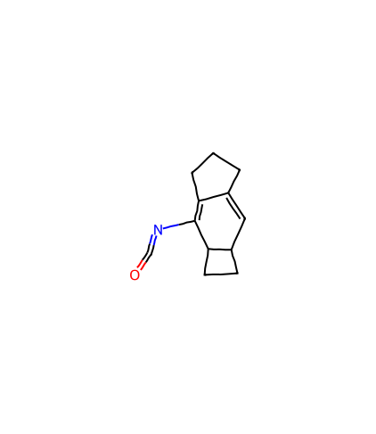 O=C=NC1=C2CCCC2=CC2CCC12